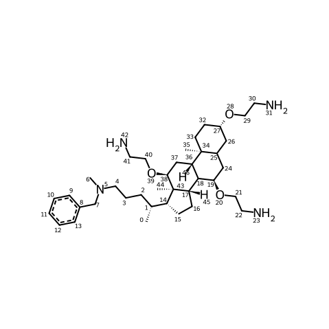 C[C@H](CCCN(C)Cc1ccccc1)[C@H]1CC[C@H]2C3[C@H](OCCN)CC4C[C@@H](OCCN)CC[C@]4(C)[C@H]3C[C@H](OCCN)[C@]12C